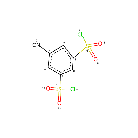 O=Nc1cc(S(=O)(=O)Cl)cc(S(=O)(=O)Cl)c1